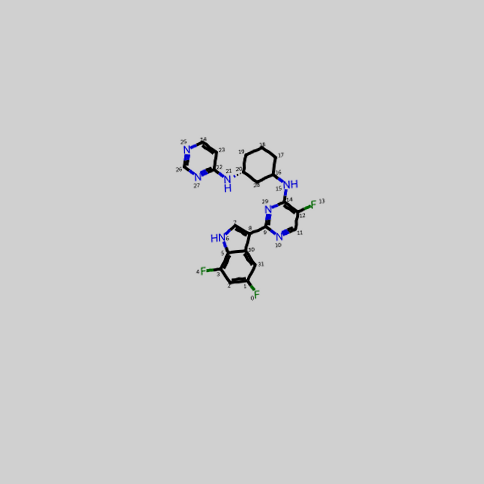 Fc1cc(F)c2[nH]cc(-c3ncc(F)c(NC4CCC[C@@H](Nc5ccncn5)C4)n3)c2c1